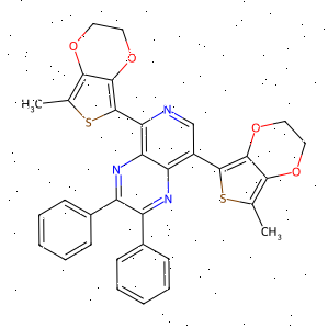 Cc1sc(-c2cnc(-c3sc(C)c4c3OCCO4)c3nc(-c4ccccc4)c(-c4ccccc4)nc23)c2c1OCCO2